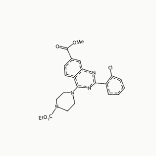 CCOC(=O)N1CCN(c2nc(-c3ccccc3Cl)nc3cc(C(=O)OC)ccc23)CC1